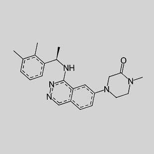 Cc1cccc([C@@H](C)Nc2nncc3ccc(N4CCN(C)C(=O)C4)cc23)c1C